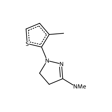 CNC1=NN(c2sccc2C)CC1